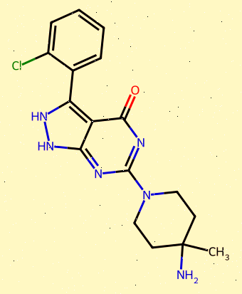 CC1(N)CCN(c2nc3[nH][nH]c(-c4ccccc4Cl)c-3c(=O)n2)CC1